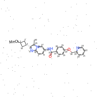 CO[C@H]1C[C@H](c2nc3ccc(NC(=O)c4ccc(OCc5ccccn5)cc4)cn3c2C)C1